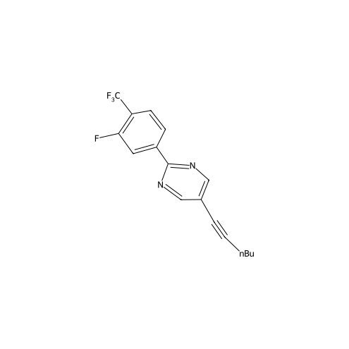 CCCCC#Cc1cnc(-c2ccc(C(F)(F)F)c(F)c2)nc1